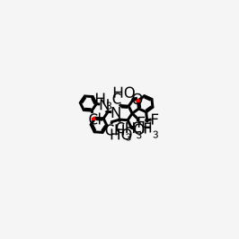 CCC1(c2ccccc2C(F)(F)F)C(C(=O)O)=C(C)N(C(=Nc2ccccc2Cl)c2ccccc2)C(C)(CC)C1C(=O)O